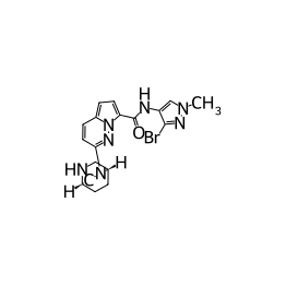 Cn1cc(NC(=O)c2ccc3ccc(N4C[C@@H]5CC[C@H]4CN5)nn23)c(Br)n1